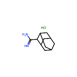 Cl.N=C(N)C1C2CC3CC(C2)CC1C3